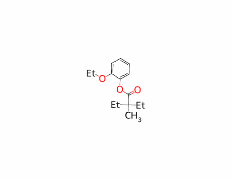 CCOc1ccccc1OC(=O)C(C)(CC)CC